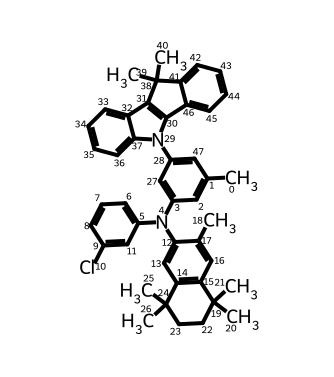 Cc1cc(N(c2cccc(Cl)c2)c2cc3c(cc2C)C(C)(C)CCC3(C)C)cc(-n2c3c(c4ccccc42)C(C)(C)c2ccccc2-3)c1